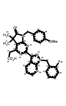 COc1ccc(CN2C(=O)C(C)(C)c3c(CC(=O)O)nc(-c4nn(Cc5ccccc5F)c5ncccc45)nc32)cc1